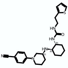 N#Cc1ccc(N2CCC[C@H](N[C@@H]3CCCC[C@H]3NC(=O)NCCc3cccs3)C2)cc1